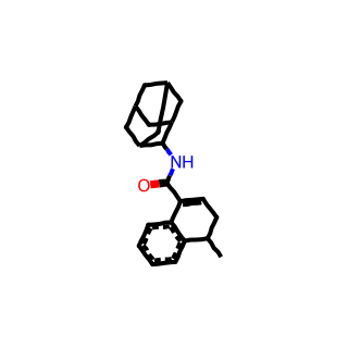 CC1CC=C(C(=O)NC2C3CC4CC(C3)CC2C4)c2ccccc21